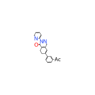 CC(=O)c1cccc(C2=Cc3cnn(-c4ccccn4)c(=O)c3CC2)c1